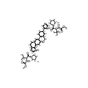 COC(=O)N[C@H](C(=O)N1C[C@@H](C)C[C@H]1c1nc2ccc3cc4c(cc3c2[nH]1)OCc1cc(-c2cnc([C@@H]3CC[C@H](C)N3C(=O)[C@@H](NC(=O)OC)C(C)(C)C)[nH]2)ccc1-4)C(C)C